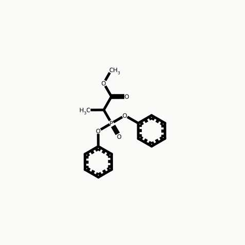 COC(=O)C(C)P(=O)(Oc1ccccc1)Oc1ccccc1